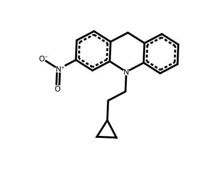 O=[N+]([O-])c1ccc2c(c1)N(CCC1CC1)c1ccccc1C2